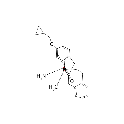 CN1C(=O)C2(N=C1N)c1cc(OCC3CC3)ccc1CC21CCc2ccccc2CC1